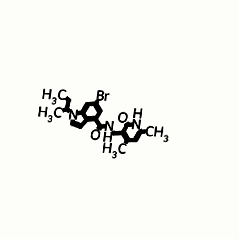 CCC(C)n1ccc2c(C(=O)NCc3c(C)cc(C)[nH]c3=O)cc(Br)cc21